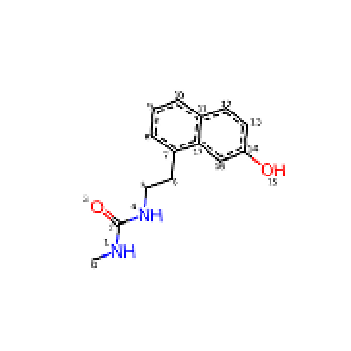 CNC(=O)NCCc1cccc2ccc(O)cc12